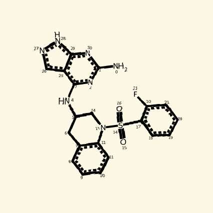 Nc1nc(NC2Cc3ccccc3N(S(=O)(=O)c3ccccc3F)C2)c2cn[nH]c2n1